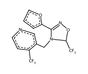 FC(F)(F)c1ccncc1CN1C(c2ccco2)=NOC1C(F)(F)F